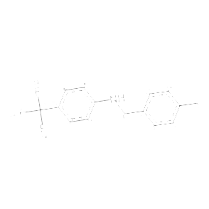 Cc1ccc(CNc2[c]cc(C(F)(F)F)cc2)cc1